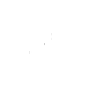 F.F.F.F.Ic1ccccc1I